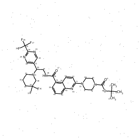 CC(C)(C)OC(=O)N1CCN(c2ccc3c(C(=O)NCC(c4cnc(C(F)(F)F)nc4)N4CCCC(F)(F)C4)cccc3n2)CC1